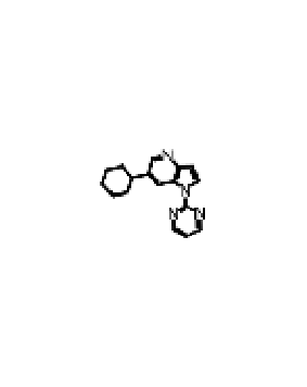 c1cnc(-n2ccc3ncc(C4CCCCC4)cc32)nc1